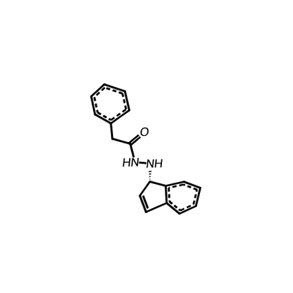 O=C(Cc1ccccc1)NN[C@H]1C=Cc2ccccc21